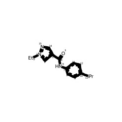 CCn1cc(C(=O)Nc2ccc(C(C)C)cc2)cn1